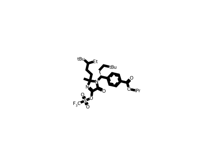 CCC(CCC1(C)N=C(OS(=O)(=O)C(F)(F)F)C(=O)N1[C@H](CCC(C)(C)C)c1ccc(C(=O)OC(C)C)cc1)C(C)(C)C